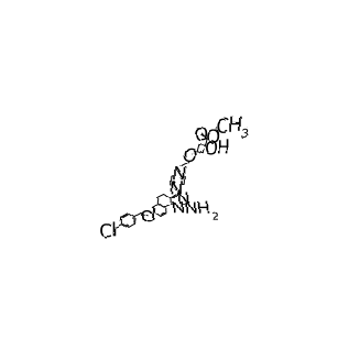 CCOC(=O)[C@]1(O)C[C@H](OCCN2CCN(c3nc(N)nc4c3CCc3cc(OCc5ccc(Cl)cc5)ccc3-4)CC2)C1